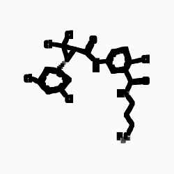 O=C(NCCCC(F)(F)F)c1cc(NC(=O)[C@H]2[C@H](c3cc(Cl)cc(Cl)c3)C2(Cl)Cl)ccc1Cl